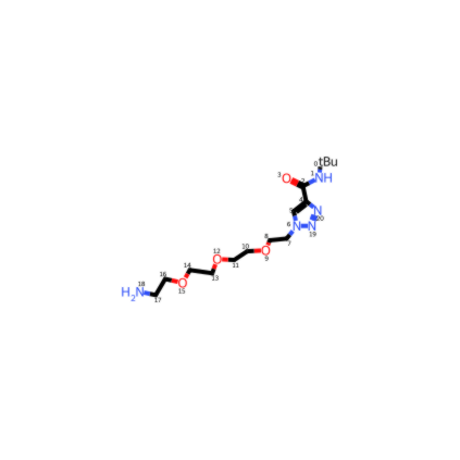 CC(C)(C)NC(=O)c1cn(CCOCCOCCOCCN)nn1